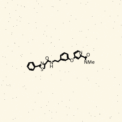 CNC(=O)c1cc(Oc2cccc(CCNC(=O)C3CSC(c4ccccc4)=N3)c2)ccn1